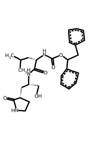 CC(C)C[C@H](NC(=O)OC(Cc1ccccc1)c1ccccc1)C(=O)N[C@H](CO)C[C@@H]1CCNC1=O